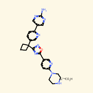 Nc1ncc(-c2ccc(C3(c4noc(-c5ccc(N6CCN[C@@H](C(=O)O)C6)nc5)n4)CCC3)cn2)cn1